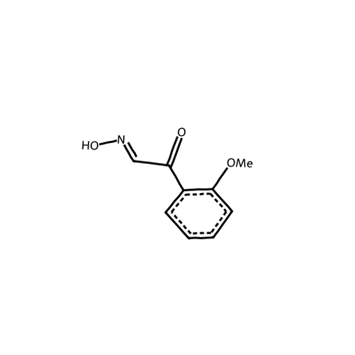 COc1ccccc1C(=O)C=NO